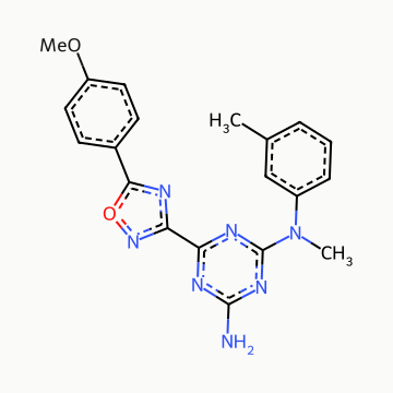 COc1ccc(-c2nc(-c3nc(N)nc(N(C)c4cccc(C)c4)n3)no2)cc1